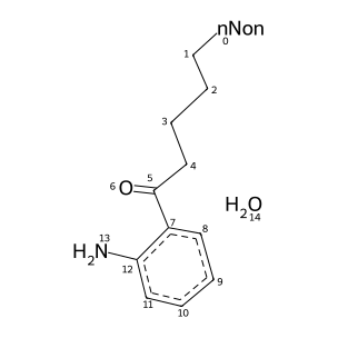 CCCCCCCCCCCCCC(=O)c1ccccc1N.O